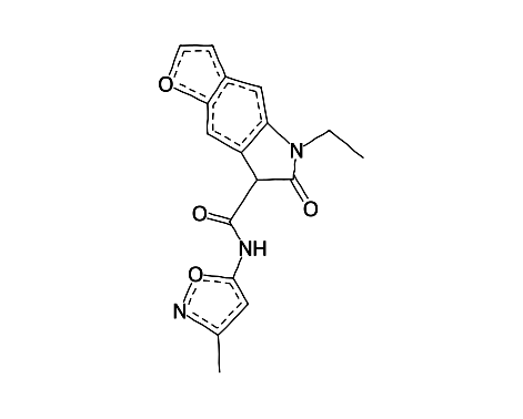 CCN1C(=O)C(C(=O)Nc2cc(C)no2)c2cc3occc3cc21